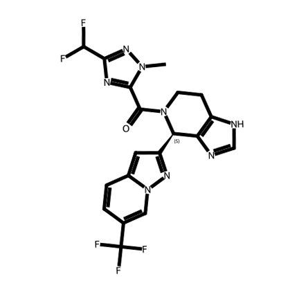 Cn1nc(C(F)F)nc1C(=O)N1CCc2[nH]cnc2[C@H]1c1cc2ccc(C(F)(F)F)cn2n1